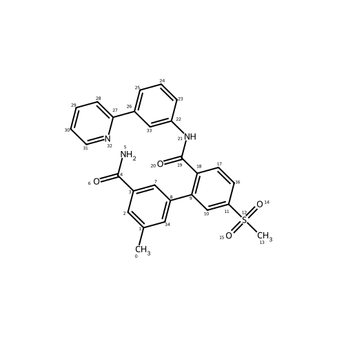 Cc1cc(C(N)=O)cc(-c2cc(S(C)(=O)=O)ccc2C(=O)Nc2cccc(-c3ccccn3)c2)c1